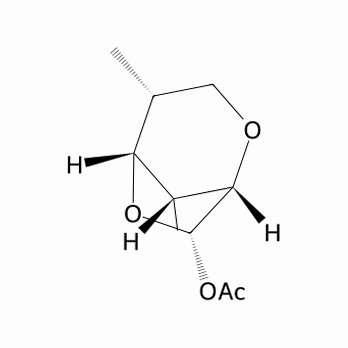 CC(=O)O[C@@H]1O[C@H]2[C@@H](C)[C@@H]1OC[C@H]2C